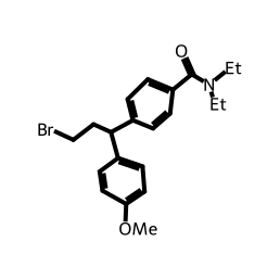 CCN(CC)C(=O)c1ccc(C(CCBr)c2ccc(OC)cc2)cc1